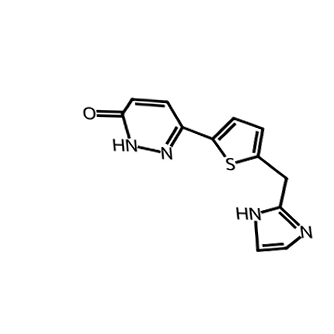 O=c1ccc(-c2ccc(Cc3ncc[nH]3)s2)n[nH]1